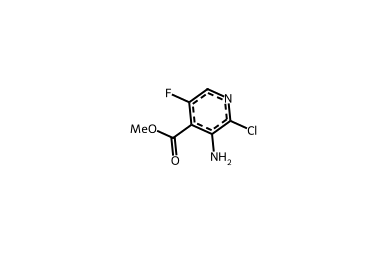 COC(=O)c1c(F)cnc(Cl)c1N